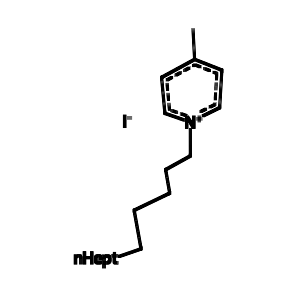 CCCCCCCCCCCC[n+]1ccc(C)cc1.[I-]